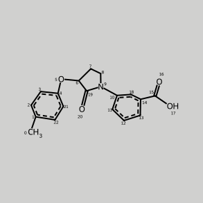 Cc1ccc(OC2CCN(c3cccc(C(=O)O)c3)C2=O)cc1